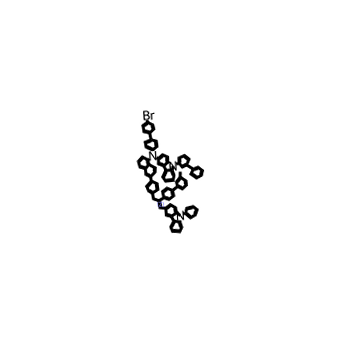 Cc1cccc(-c2ccc(/C(=C\c3ccc4c(c3)c3ccccc3n4-c3ccccc3)Cc3ccc(-c4ccc5c(N(c6ccc(-c7ccc(Br)cc7)cc6)c6ccc7c(c6)c6ccccc6n7-c6cccc(-c7ccccc7)c6)cccc5c4)cc3)cc2)c1